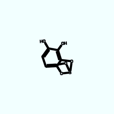 Oc1cc2c3c(c1O)OB(O2)O3